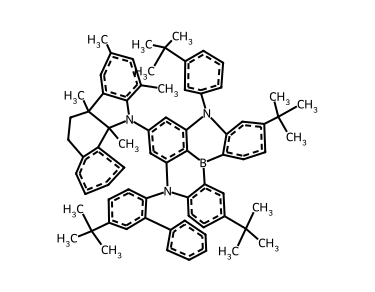 Cc1cc(C)c2c(c1)C1(C)CCc3ccccc3C1(C)N2c1cc2c3c(c1)N(c1ccc(C(C)(C)C)cc1-c1ccccc1)c1ccc(C(C)(C)C)cc1B3c1ccc(C(C)(C)C)cc1N2c1cccc(C(C)(C)C)c1